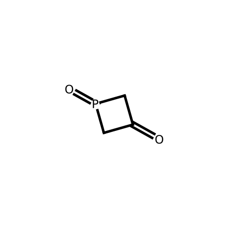 O=C1C[P](=O)C1